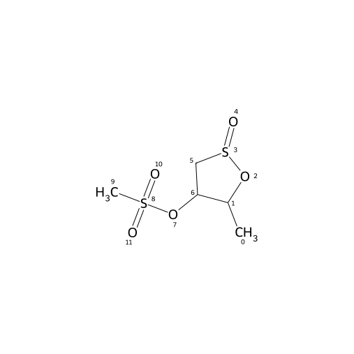 CC1OS(=O)CC1OS(C)(=O)=O